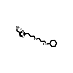 NCc1coc(CCCNCCCNC2CCCCC2)n1